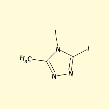 Cc1nnc(I)n1I